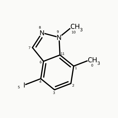 Cc1ccc(I)c2cnn(C)c12